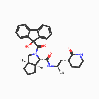 N#C[C@H](C[C@H]1CCCNC1=O)NC(=O)[C@@H]1[C@H]2CCC[C@H]2CN1C(=O)C1(O)c2ccccc2-c2ccccc21